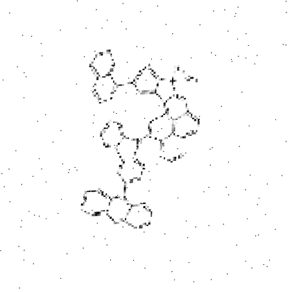 CC1(C)c2ccc(-c3cccc4ccccc34)cc2-c2c1cc1ccc3cccc4c(-n5c6ccccc6c6cc(-c7c8ccccc8cc8ccccc78)ccc65)cc2c1c34